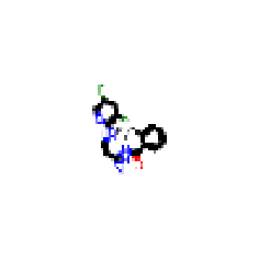 N=C(/C=C\NC1=C(F)CC(F)C=N1)NC(=O)c1ccccc1C(F)(F)F